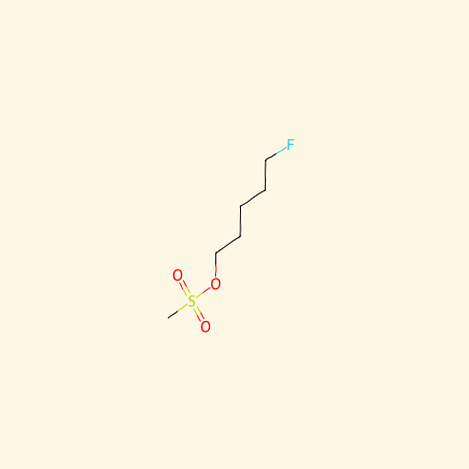 CS(=O)(=O)OCCCCCF